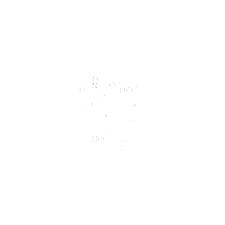 CONS(=O)(=O)c1cccc(C(=O)O)c1.Cl